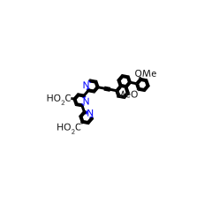 COc1cccc(OC)c1-c1cccc2c(C#Cc3ccnc(-c4cc(C(=O)O)cc(-c5cc(C(=O)O)ccn5)n4)c3)cccc12